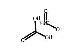 O=C(O)O.O=[NH+][O-]